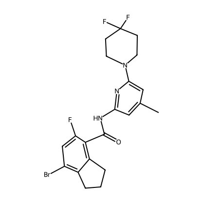 Cc1cc(NC(=O)c2c(F)cc(Br)c3c2CCC3)nc(N2CCC(F)(F)CC2)c1